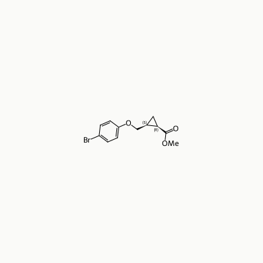 COC(=O)[C@@H]1C[C@@H]1COc1ccc(Br)cc1